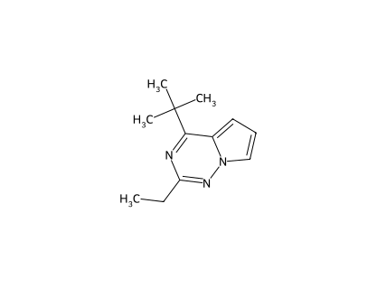 CCc1nc(C(C)(C)C)c2cccn2n1